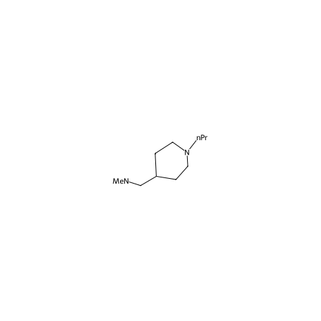 CCCN1CCC(CNC)CC1